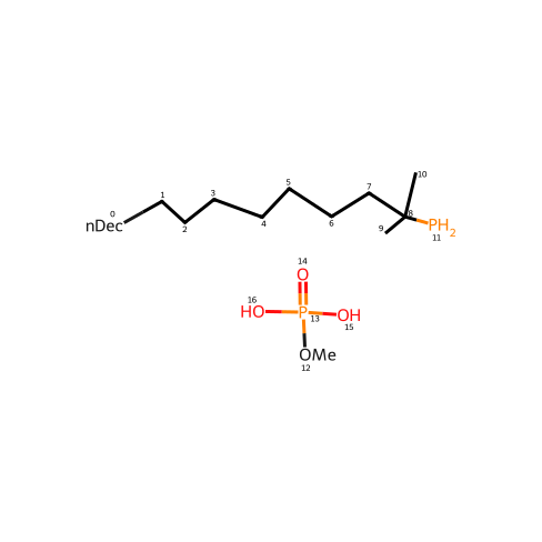 CCCCCCCCCCCCCCCCCC(C)(C)P.COP(=O)(O)O